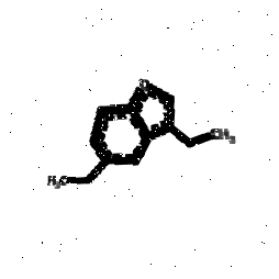 CCc1ccc2occ(CC)c2c1